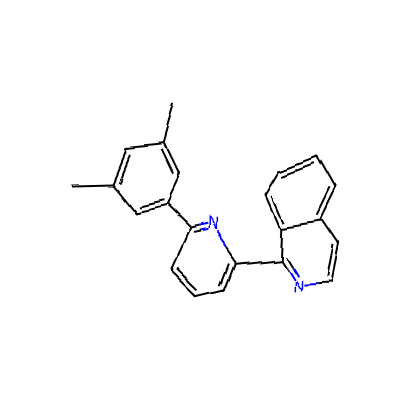 Cc1cc(C)cc(-c2cccc(-c3nccc4ccccc34)n2)c1